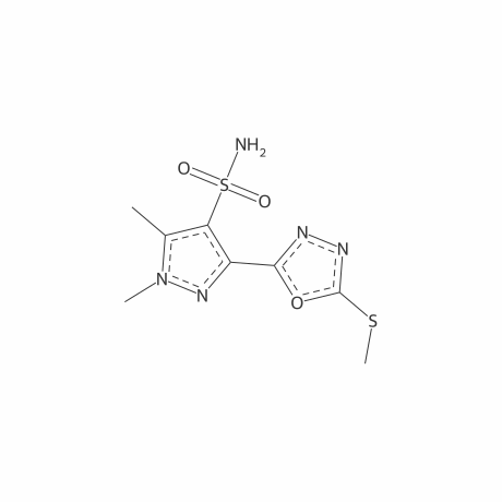 CSc1nnc(-c2nn(C)c(C)c2S(N)(=O)=O)o1